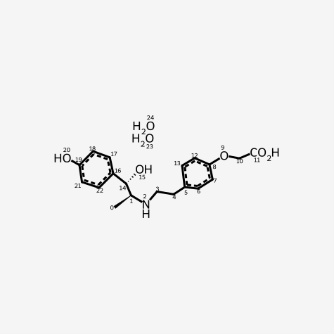 C[C@H](NCCc1ccc(OCC(=O)O)cc1)[C@@H](O)c1ccc(O)cc1.O.O